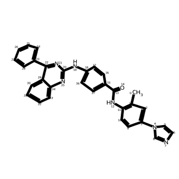 Cc1cc(-n2ccnc2)ccc1NC(=O)c1ccc(Nc2nc(-c3ccccc3)c3ccccc3n2)cc1